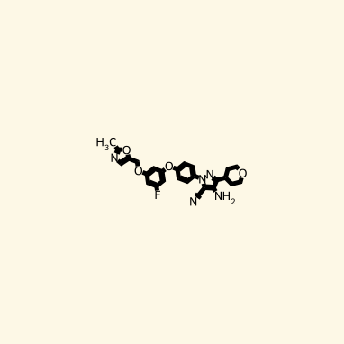 Cc1ncc(COc2cc(F)cc(Oc3ccc(-n4nc(C5CCOCC5)c(N)c4C#N)cc3)c2)o1